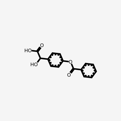 O=C(Oc1ccc(C(O)C(=O)O)cc1)c1ccccc1